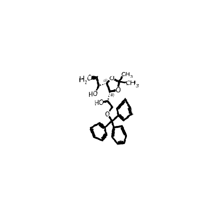 C=CC(O)[C@@H]1OC(C)(C)O[C@@H]1C(O)COC(c1ccccc1)(c1ccccc1)c1ccccc1